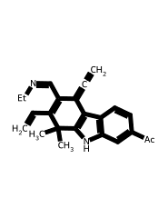 C=C=C1C(/C=N\CC)=C(C=C)C(C)(C)c2[nH]c3cc(C(C)=O)ccc3c21